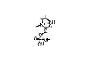 CN1CCNCC1COP(=O)(O)O